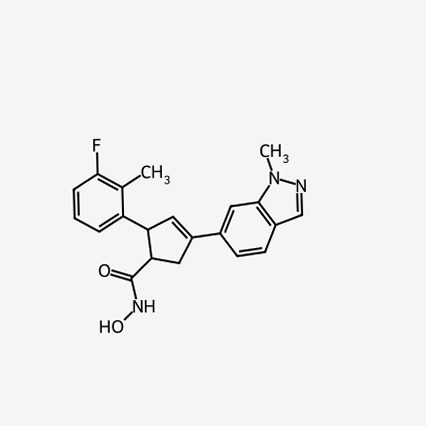 Cc1c(F)cccc1C1C=C(c2ccc3cnn(C)c3c2)CC1C(=O)NO